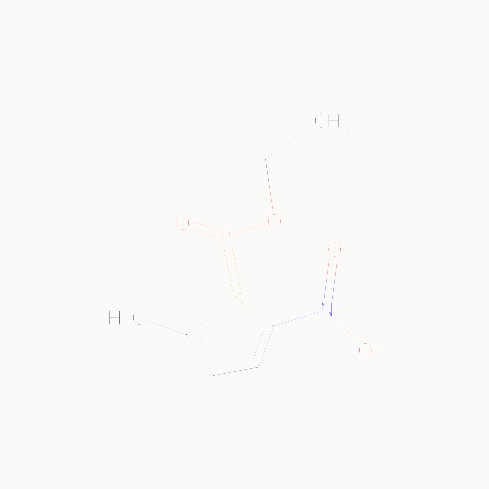 CCO/P(=O)=S1/C(C)=CC=C1[N+](=O)[O-]